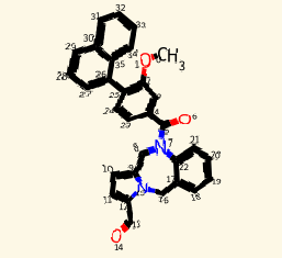 COc1cc(C(=O)N2Cc3ccc(C=O)n3Cc3ccccc32)ccc1-c1cccc2ccccc12